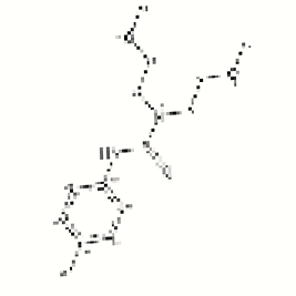 COCCN(CCOC)C(=O)Nc1ccc(C)cc1